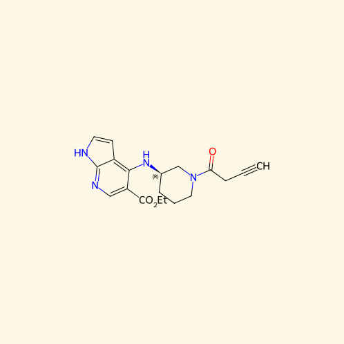 C#CCC(=O)N1CCC[C@@H](Nc2c(C(=O)OCC)cnc3[nH]ccc23)C1